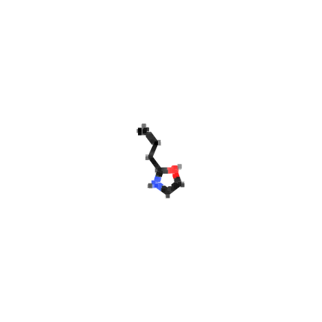 [CH]=CCc1ncco1